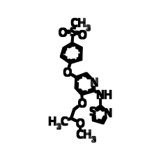 COC(C)COc1cc(Oc2ccc(S(C)(=O)=O)cc2)cnc1Nc1nccs1